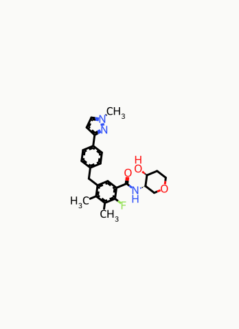 Cc1c(Cc2ccc(-c3ccn(C)n3)cc2)cc(C(=O)N[C@H]2COCC[C@@H]2O)c(F)c1C